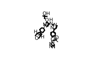 C[C@@H](Cn1cnnn1)Oc1cc(-c2ccnc(Nc3cn([C@H]4CC[C@H](N5[C@@H]6CC[C@H]5COC6)CC4)nc3OCC(C)(C)O)n2)ccc1C#N